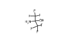 NC(O)(C(F)(F)F)C(F)(F)F